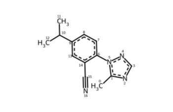 Cc1ncnn1-c1ccc(C(C)C)cc1C#N